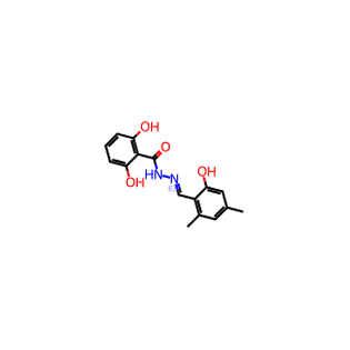 Cc1cc(C)c(/C=N/NC(=O)c2c(O)cccc2O)c(O)c1